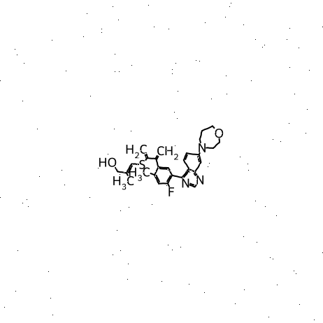 C=C(S/C=C(\C)CO)C(=C)c1cc(-c2ncnc3cc(N4CCCOCC4)ccc23)c(F)cc1C